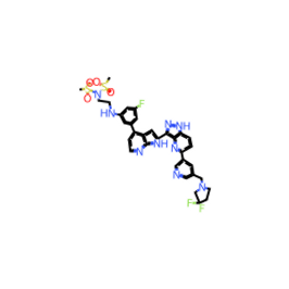 CS(=O)(=O)N(CCNc1cc(F)cc(-c2ccnc3[nH]c(-c4n[nH]c5ccc(-c6cncc(CN7CCC(F)(F)C7)c6)nc45)cc23)c1)S(C)(=O)=O